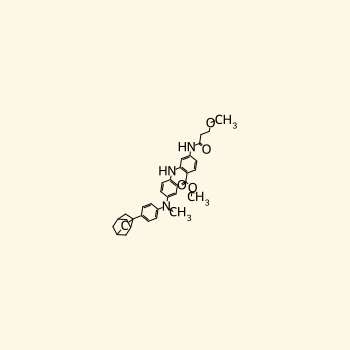 COCCC(=O)Nc1ccc(C(=O)OC)c(Nc2ccc(N(C)c3ccc(C45CC6CC(CC4C6)C5)cc3)cc2)c1